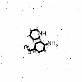 C1CCNCC1.NC1CCC(C=O)CC1